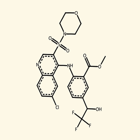 COC(=O)c1cc(C(O)C(F)(F)F)ccc1Nc1c(S(=O)(=O)N2CCOCC2)cnc2ccc(Cl)cc12